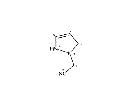 N#CCN1CC=CN1